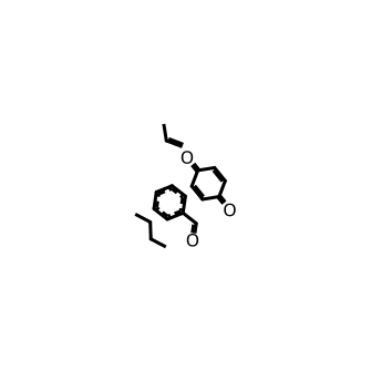 C=CC.CCCC.O=C1C=CC(=O)C=C1.O=Cc1ccccc1